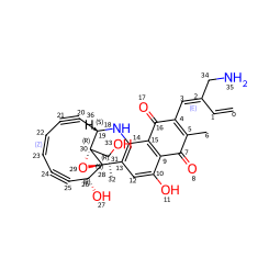 C=C/C(=C\C1=C(C)C(=O)c2c(O)cc3c(c2C1=O)N[C@H]1C#C/C=C\C#C[C@@H](O)[C@@]32O[C@@]12[C@@H](C)O)CN